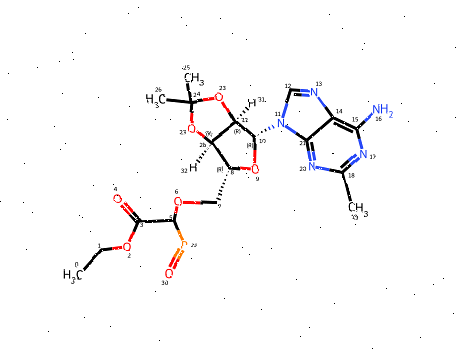 CCOC(=O)C(OC[C@H]1O[C@@H](n2cnc3c(N)nc(C)nc32)[C@@H]2OC(C)(C)O[C@@H]21)P=O